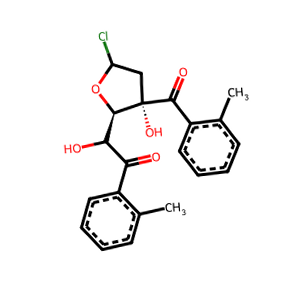 Cc1ccccc1C(=O)C(O)[C@H]1OC(Cl)C[C@@]1(O)C(=O)c1ccccc1C